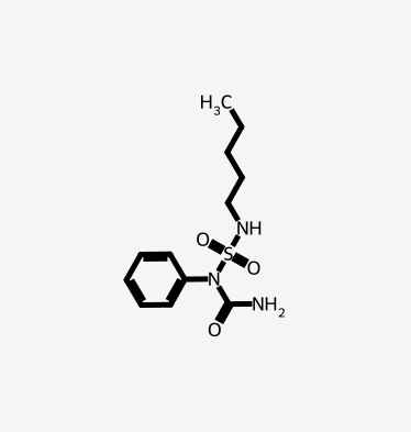 CCCCCNS(=O)(=O)N(C(N)=O)c1ccccc1